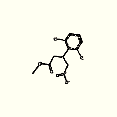 COC(=O)CC(C[N+](=O)[O-])c1c(Cl)cccc1Cl